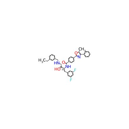 CCc1cccc(CNC[C@@H](O)[C@H](Cc2cc(F)cc(F)c2)NC(=O)c2ccc(-c3nc(-c4ccccc4)c(C)o3)cc2)c1